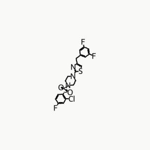 O=S(=O)(c1ccc(F)cc1Cl)N1CCN(c2nc(Cc3cc(F)cc(F)c3)cs2)CC1